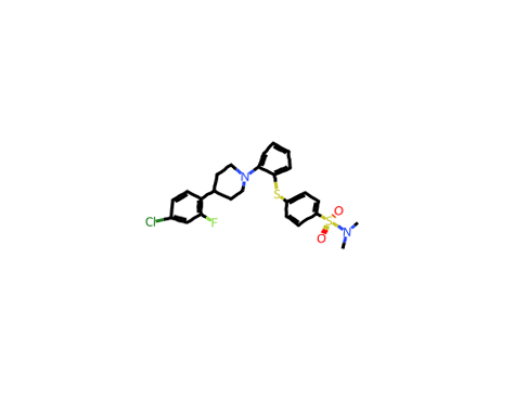 CN(C)S(=O)(=O)c1ccc(Sc2ccccc2N2CCC(c3ccc(Cl)cc3F)CC2)cc1